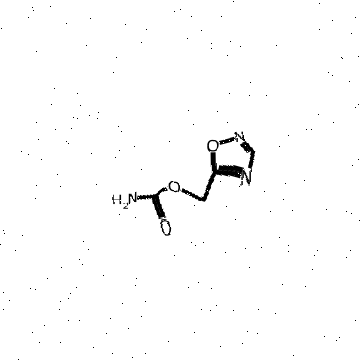 NC(=O)OCc1ncno1